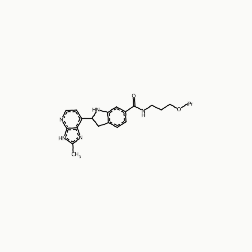 Cc1nc2c(C3Cc4ccc(C(=O)NCCCOC(C)C)cc4N3)ccnc2[nH]1